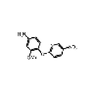 COc1cc(N)ccc1Oc1ccc([N+](=O)[O-])cn1